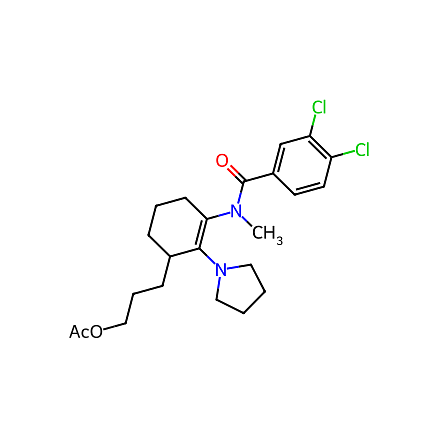 CC(=O)OCCCC1CCCC(N(C)C(=O)c2ccc(Cl)c(Cl)c2)=C1N1CCCC1